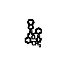 Cc1cccc(CN(C(=O)c2ccccc2-n2cccc2)C2Cc3ccccc3C2)c1